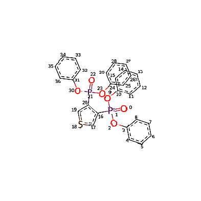 O=P(Oc1ccccc1)(Oc1ccccc1)c1cscc1P(=O)(Oc1ccccc1)Oc1ccccc1